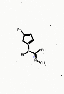 CCCC/C(=N\C)N(CC)C1=CC=C(CC)C1